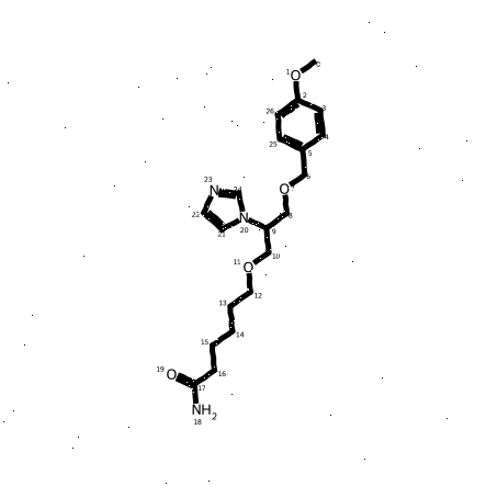 COc1ccc(COCC(COCCCCCC(N)=O)n2ccnc2)cc1